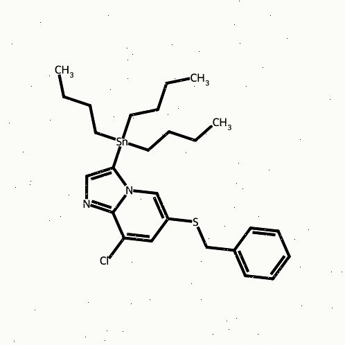 CCC[CH2][Sn]([CH2]CCC)([CH2]CCC)[c]1cnc2c(Cl)cc(SCc3ccccc3)cn12